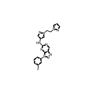 Fc1cccc(-n2nnc3cnc(Nc4cnn(CCn5cccn5)c4)nc32)c1